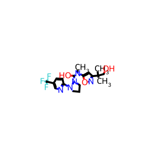 CN(c1cc(C(C)(C)CO)no1)C(O)N1CCCN1c1ccc(C(F)(F)F)cn1